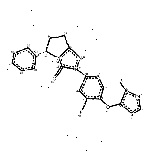 Cc1ncsc1Oc1ccc(-n2nc3n(c2=O)[C@H](c2ccccc2)CC3)cc1F